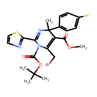 COC(=O)C1=C(CBr)N(C(=O)OC(C)(C)C)C(c2nccs2)=NC1(C)c1ccc(F)cc1